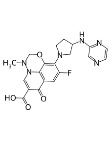 CN1COc2c(N3CCC(Nc4cnccn4)C3)c(F)cc3c(=O)c(C(=O)O)cn1c23